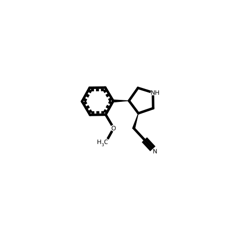 COc1ccccc1[C@H]1CNC[C@H]1CC#N